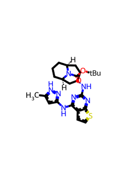 Cc1cc(Nc2nc(N[C@H]3CC[C@@H]4CCC[C@H](C3)N4C(=O)OC(C)(C)C)nc3sccc23)n[nH]1